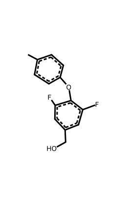 Cc1ccc(Oc2c(F)cc(CO)cc2F)cc1